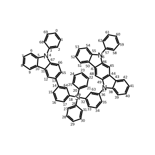 c1ccc(-n2c3ccccc3c3cc(-c4cccc([Si](c5ccccc5)(c5ccccc5)c5cccc(-n6c7ccccc7c7cc8c(cc76)c6ccccc6n8-c6ccccc6)c5)c4)ccc32)cc1